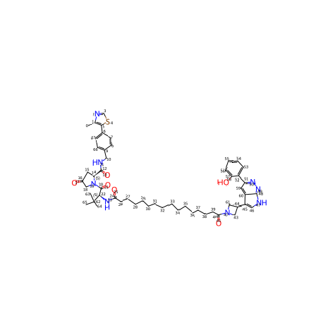 Cc1ncsc1-c1ccc(CNC(=O)[C@@H]2CC(=O)CN2C(=O)[C@@H](NC(=O)CCCCCCCCCCCCCCC(=O)N2CC(c3c[nH]c4nnc(-c5ccccc5O)cc34)C2)C(C)(C)C)cc1